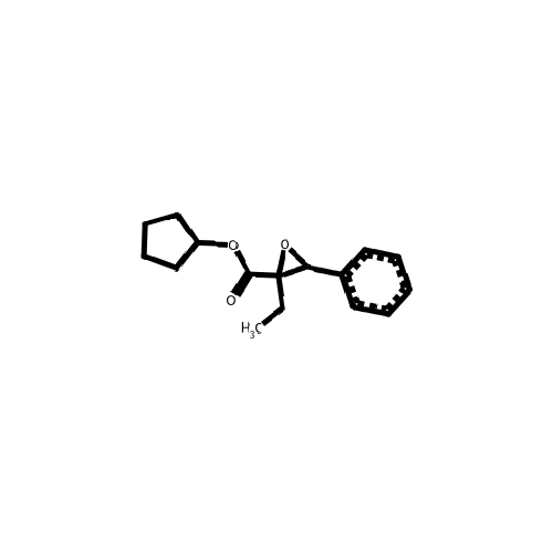 CCC1(C(=O)OC2CCCC2)OC1c1ccccc1